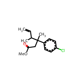 C=CC(C)C(C)(CC(=O)OC)c1ccc(Cl)cc1